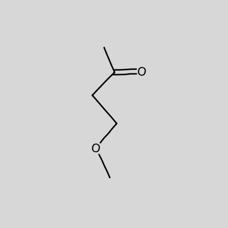 COCCC(C)=O